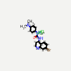 CN(C)c1ccc(NC(=O)Nc2ccnc3cc(Br)ccc23)cc1.Cl.Cl